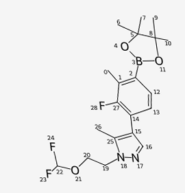 Cc1c(B2OC(C)(C)C(C)(C)O2)ccc(-c2cnn(CCOC(F)F)c2C)c1F